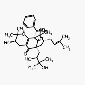 CC(C)=CC[C@@H]1C[C@@]2(CC(O)C(C)(C)O)C(=O)C3=C(OC(C)(C)[C@H](O)C3)[C@](C(=O)c3ccccc3)(C2=O)C1(C)C